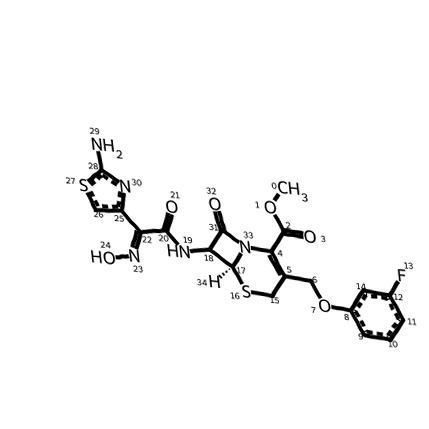 COC(=O)C1=C(COc2cccc(F)c2)CS[C@H]2C(NC(=O)C(=NO)c3csc(N)n3)C(=O)N12